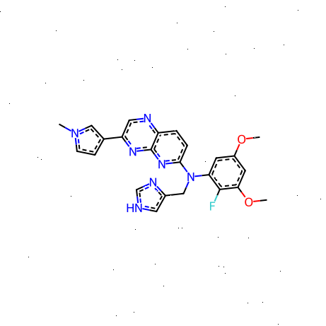 COc1cc(OC)c(F)c(N(Cc2c[nH]cn2)c2ccc3ncc(-c4ccn(C)c4)nc3n2)c1